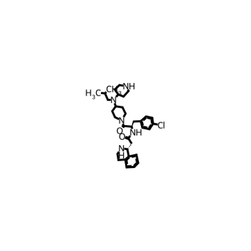 CC(C)CN(C1CCNCC1)C1CCN(C(=O)[C@@H](Cc2ccc(Cl)cc2)NC(=O)C[C@H]2NCCc3ccccc32)CC1